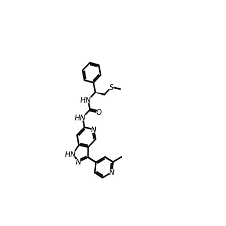 CSC[C@@H](NC(=O)Nc1cc2[nH]nc(-c3ccnc(C)c3)c2cn1)c1ccccc1